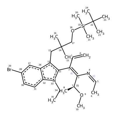 C=C/C(=C(\N=C/C)[C@H](C)OC)c1c(CC(C)(C)CO[Si](C)(C)C(C)(C)C)c2cc(Br)ccc2n1CC